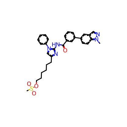 Cn1ncc2cc(-c3cccc(C(=O)Nc4nc(CCCCCCOS(C)(=O)=O)cn4-c4ccccc4)c3)ccc21